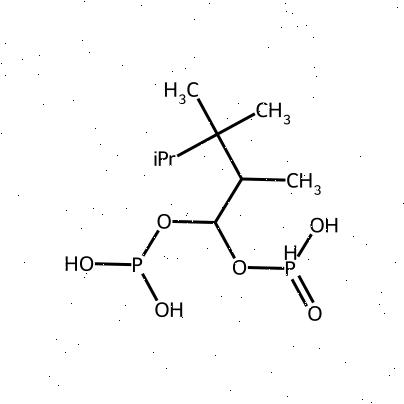 CC(C)C(C)(C)C(C)C(OP(O)O)O[PH](=O)O